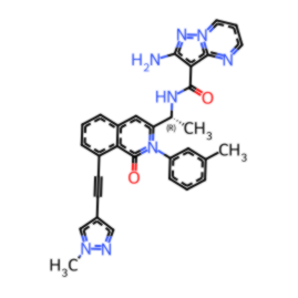 Cc1cccc(-n2c([C@@H](C)NC(=O)c3c(N)nn4cccnc34)cc3cccc(C#Cc4cnn(C)c4)c3c2=O)c1